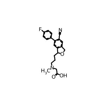 CN(CCCC1OCc2cc(C#N)c(-c3ccc(F)cc3)cc21)CC(=O)O